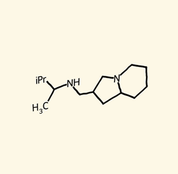 CC(C)C(C)NCC1CC2CCCCN2C1